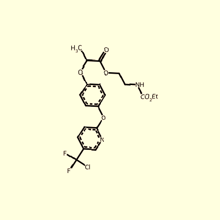 CCOC(=O)NCCOC(=O)C(C)Oc1ccc(Oc2ccc(C(F)(F)Cl)cn2)cc1